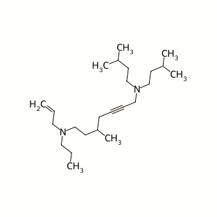 C=CCN(CCC)CCC(C)CC#CCN(CCC(C)C)CCC(C)C